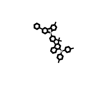 Cc1ccc(N(c2ccc(C)cc2)c2cc3c(c4ccccc24)-c2ccc(-n4c5ccc(C)cc5c5cc(-c6ccccc6)ccc54)cc2C3(C)C)cc1